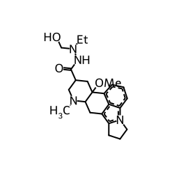 CCN(CO)NC(=O)C1CN(C)C2Cc3c4n(c5cccc(c35)C2(OC)C1)CCC4